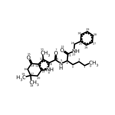 CCCCC(NC(=O)c1[nH]c2c(c1C)C(=O)CC(C)(C)C2)C(=O)NCc1ccccc1